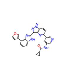 O=C(Nc1cncc(-c2ccc3[nH]nc(-c4nc5c(-c6ccoc6)cccc5[nH]4)c3n2)c1)C1CC1